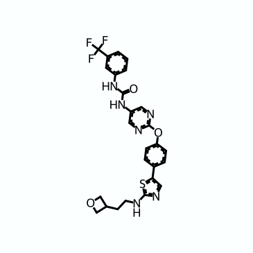 O=C(Nc1cnc(Oc2ccc(-c3cnc(NCCC4COC4)s3)cc2)nc1)Nc1cccc(C(F)(F)F)c1